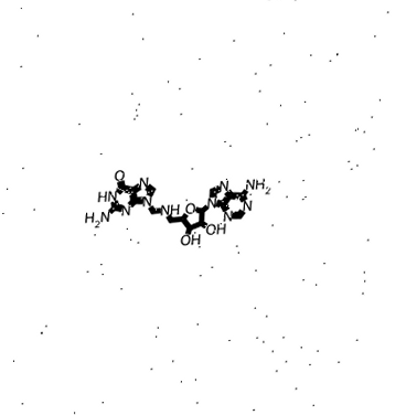 Nc1nc2c(ncn2CNCC2OC(n3cnc4c(N)ncnc43)C(O)C2O)c(=O)[nH]1